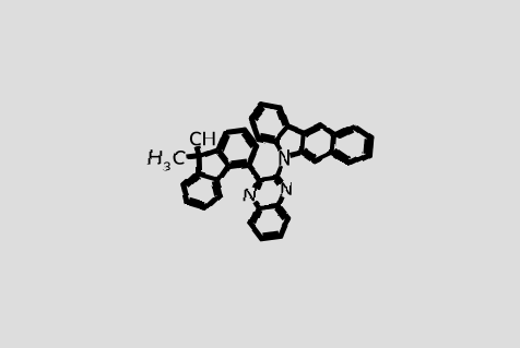 CC1(C)c2ccccc2-c2c(-c3nc4ccccc4nc3-n3c4ccccc4c4cc5ccccc5cc43)cccc21